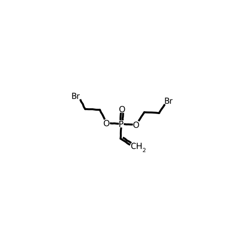 C=CP(=O)(OCCBr)OCCBr